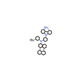 CC(C)(C)c1cccc(N(c2ccc(-c3cccc4cccc(-c5ccccc5)c34)cc2)c2cccc(-n3c4ccccc4c4c(N)cccc43)c2)c1